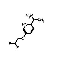 C[C@H](N)C1C=CC(OCC(F)F)=CN1